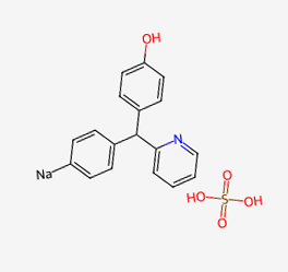 O=S(=O)(O)O.Oc1ccc(C(c2cc[c]([Na])cc2)c2ccccn2)cc1